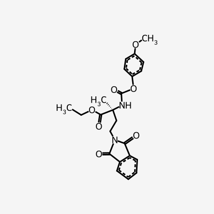 CCOC(=O)[C@](C)(CCN1C(=O)c2ccccc2C1=O)NC(=O)Oc1ccc(OC)cc1